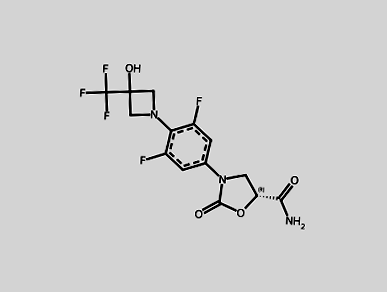 NC(=O)[C@H]1CN(c2cc(F)c(N3CC(O)(C(F)(F)F)C3)c(F)c2)C(=O)O1